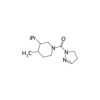 CC(C)C1CN(C(=O)N2CCC=N2)CCC1C